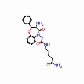 NC(=O)CCCCNC(=O)CN1C(=O)[C@H](N)[C@H](c2ccccc2)Oc2ccccc21